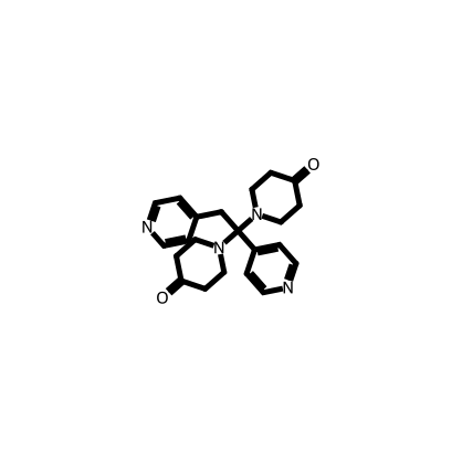 O=C1CCN(C(Cc2ccncc2)(c2ccncc2)N2CCC(=O)CC2)CC1